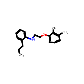 CCCc1ccccc1NCCOc1cccc(C)c1C